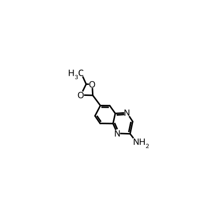 CC1OC(c2ccc3nc(N)cnc3c2)O1